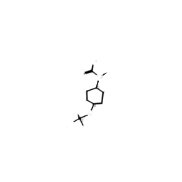 CN(C(=O)O)C1CCC(NC(C)(C)C)CC1